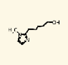 Cn1ccnc1CCCCCO